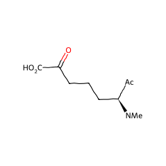 CN[C@@H](CCCC(=O)C(=O)O)C(C)=O